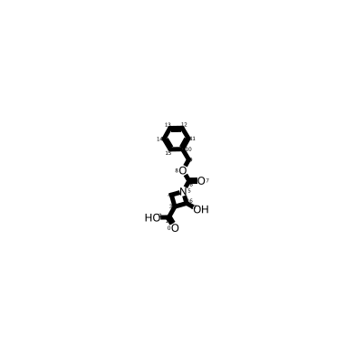 O=C(O)C1CN(C(=O)OCc2ccccc2)C1O